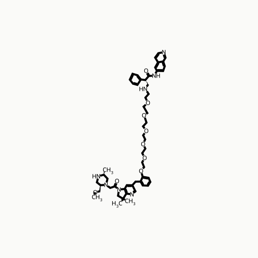 COC[C@H]1CN[C@H](C)CN1CC(=O)N1CC(C)(C)c2ncc(Cc3ccccc3OCCOCCOCCOCCOCCOCCNC[C@@H](C(=O)Nc3ccc4cnccc4c3)c3ccccc3)cc21